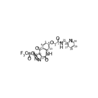 O=C(COc1ccc2c(=O)c3c(nnn3OC(=O)C(F)(F)F)c(=O)[nH]c2c1)NCc1ccccn1